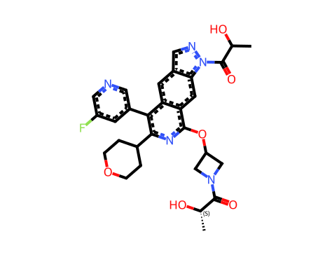 CC(O)C(=O)n1ncc2cc3c(-c4cncc(F)c4)c(C4CCOCC4)nc(OC4CN(C(=O)[C@H](C)O)C4)c3cc21